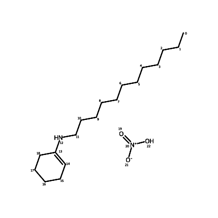 CCCCCCCCCCCCNC1=CCCCC1.O=[N+]([O-])O